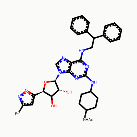 CCc1cc([C@H]2O[C@@H](n3cnc4c(NCC(c5ccccc5)c5ccccc5)nc(NC5CCC(NC(C)=O)CC5)nc43)[C@H](O)C2O)on1